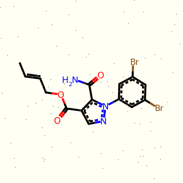 C/C=C/COC(=O)c1cnn(-c2cc(Br)cc(Br)c2)c1C(N)=O